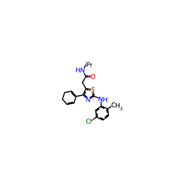 Cc1ccc(Cl)cc1Nc1nc(C2=CCCC=C2)c(CC(=O)NC(C)C)s1